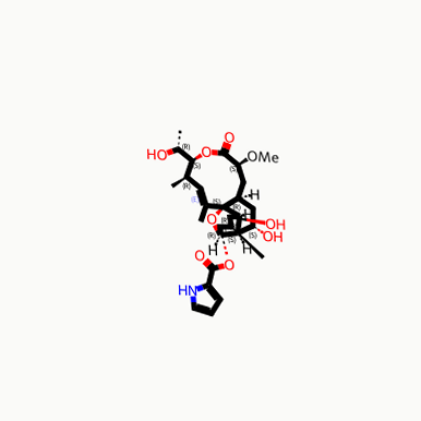 CO[C@H]1C[C@H]2C[C@H](O)[C@H]3[C@H]4O[C@]2(/C(C)=C/[C@@H](C)[C@@H]([C@@H](C)O)OC1=O)[C@@H]3[C@H](O)[C@@H](C)[C@H]4OC(=O)c1ccc[nH]1